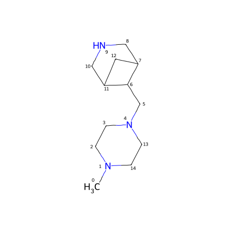 CN1CCN(CC2C3CNCC2C3)CC1